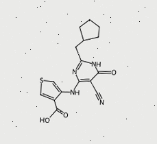 N#Cc1c(Nc2cscc2C(=O)O)nc(CC2CCCC2)[nH]c1=O